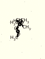 CCCOc1ccc(C(=O)C=Cc2cc(CCC)c(OC(C)C)c(OC(C)C)c2)cc1